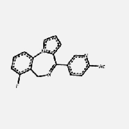 CC(=O)c1ccc(C2=NCc3c(F)cccc3-n3cccc32)cn1